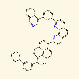 c1ccc(-c2cccc(-c3ccc4ccc5c(-c6ccc7ccc8ccc(-c9cccc(-c%10cncc%11ccccc%10%11)c9)nc8c7n6)ccc6ccc3c4c65)c2)cc1